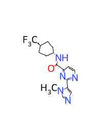 Cn1cncc1-c1nccc(C(=O)N[C@H]2CC[C@H](C(F)(F)F)CC2)n1